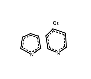 [Os].c1ccncc1.c1ccncc1